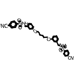 N#Cc1ccc(S(=O)(=O)NCc2cccc(OCCCCCOc3cccc(CNS(=O)(=O)c4ccc(C#N)cc4)c3)c2)cc1